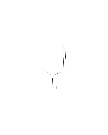 N#COB(O)F